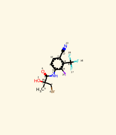 C[C@](O)(CBr)C(=O)Nc1ccc(C#N)c(C(F)(F)F)c1I